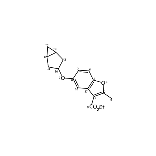 CCOC(=O)c1c(C)oc2ccc(OC3CC4CC4C3)cc12